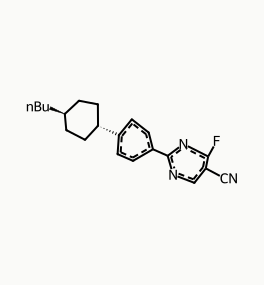 CCCC[C@H]1CC[C@H](c2ccc(-c3ncc(C#N)c(F)n3)cc2)CC1